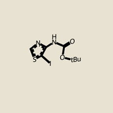 CC(C)(C)OC(=O)Nc1ncsc1I